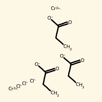 CCC(=O)[O-].CCC(=O)[O-].CCC(=O)[O-].[Cl-].[Cl-].[Cl-].[Cr+3].[Cr+3]